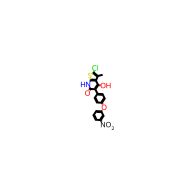 Cc1c(Cl)sc2[nH]c(=O)c(-c3ccc(Oc4cccc([N+](=O)[O-])c4)cc3)c(O)c12